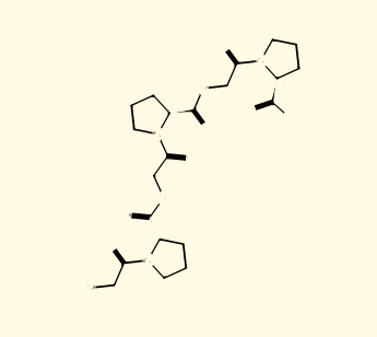 NCC(=O)N1CCC[C@H]1C(=O)NCC(=O)N1CCC[C@H]1C(=O)NCC(=O)N1CCC[C@H]1C(=O)O